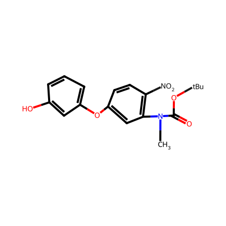 CN(C(=O)OC(C)(C)C)c1cc(Oc2cccc(O)c2)ccc1[N+](=O)[O-]